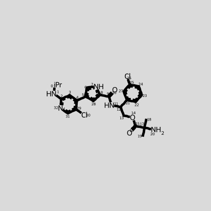 CC(C)Nc1cc(-c2c[nH]c(C(=O)NC(COC(=O)C(C)(C)N)c3cccc(Cl)c3)c2)c(Cl)cn1